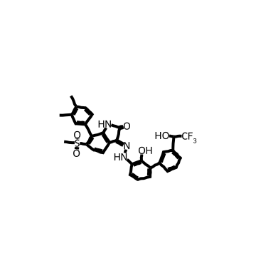 Cc1ccc(-c2c(S(C)(=O)=O)ccc3c2NC(=O)C3=NNc2cccc(-c3cccc(C(O)C(F)(F)F)c3)c2O)cc1C